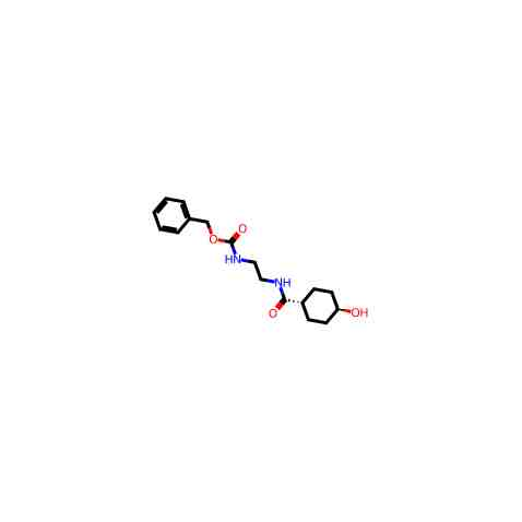 O=C(NCCNC(=O)[C@H]1CC[C@H](O)CC1)OCc1ccccc1